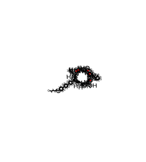 CCCCCOc1ccc(-c2ccc(-c3ccc(C(=O)N[C@H]4C[C@@H](O)[C@@H](OCC[N+](C)(C)C)NC(=O)[C@@H]5[C@@H](O)[C@@H](C)CN5C(=O)[C@H]([C@@H](C)O)NC(=O)[C@H]([C@@H]5OB(c6c(C)cccc6C)O[C@H]5c5ccc(O)cc5)NC(=O)[C@@H]5C[C@@H](O)CN5C(=O)[C@H]([C@@H](C)O)NC4=O)cc3)cc2)cc1